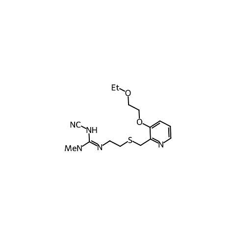 CCOCCOc1cccnc1CSCC/N=C(/NC)NC#N